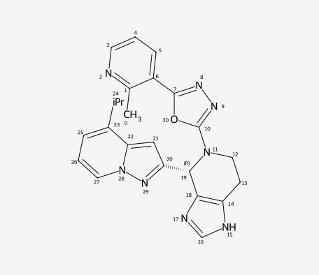 Cc1ncccc1-c1nnc(N2CCc3[nH]cnc3[C@@H]2c2cc3c(C(C)C)cccn3n2)o1